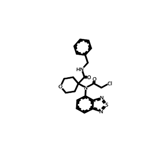 O=C(CCl)N(c1cccc2nsnc12)C1(C(=O)NCc2ccccc2)CCOCC1